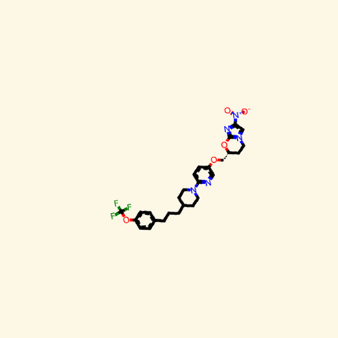 O=[N+]([O-])c1cn2c(n1)O[C@@H](COc1ccc(N3CCC(CCCc4ccc(OC(F)(F)F)cc4)CC3)nc1)CC2